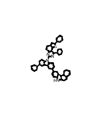 c1ccc(-c2ccc3c(c2)c2cc(-c4ccc5[nH]c6ccc7ccccc7c6c5c4)ccc2n3-c2nc(-c3ccccc3)c3c(ccc4cc(-c5ccccc5)sc43)n2)cc1